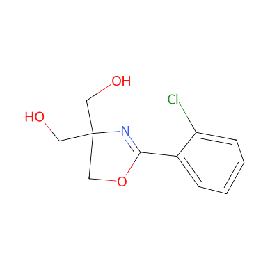 OCC1(CO)COC(c2ccccc2Cl)=N1